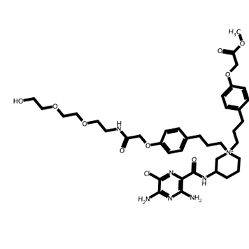 COC(=O)COc1ccc(CCC[N+]2(CCCc3ccc(OCC(=O)NCCOCCOCCO)cc3)CCCC(NC(=O)c3nc(Cl)c(N)nc3N)C2)cc1